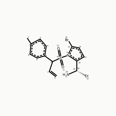 C=CC(c1ccc(C)cc1)S(=O)(=O)n1c(Br)ccc1[C@@H](N)CC